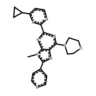 Cn1c(-c2ccncc2)nc2c(N3CCOCC3)nc(-c3nccc(C4CC4)n3)nc21